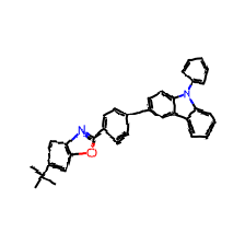 CC(C)(C)c1ccc2nc(-c3ccc(-c4ccc5c(c4)c4ccccc4n5-c4ccccc4)cc3)oc2c1